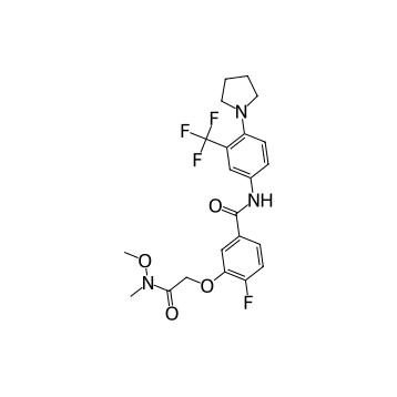 CON(C)C(=O)COc1cc(C(=O)Nc2ccc(N3CCCC3)c(C(F)(F)F)c2)ccc1F